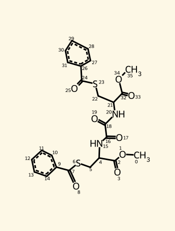 COC(=O)C(CSC(=O)c1ccccc1)NC(=O)C(=O)NC(CSC(=O)c1ccccc1)C(=O)OC